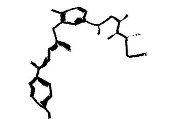 C/C(=C\C=C(/C)c1ccc(C)cc1)Cc1cc([C@H](C)C[C@@H](C)[C@H](C)[C@H](C)CI)ccc1C